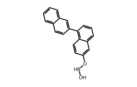 OBOc1ccc2c(-c3ccc4ccccc4c3)cccc2c1